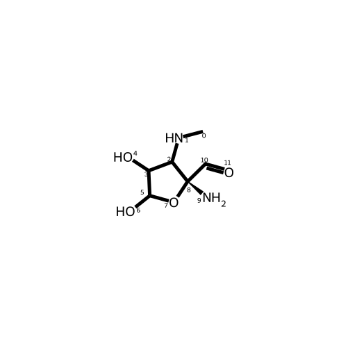 CNC1C(O)C(O)O[C@@]1(N)C=O